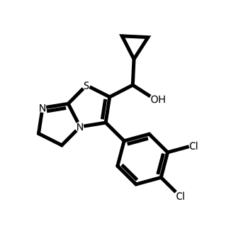 OC(C1=C(c2ccc(Cl)c(Cl)c2)N2CCN=C2S1)C1CC1